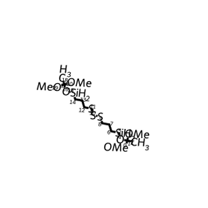 COC(C)(OC)O[SiH2]CCCSSSCCC[SiH2]OC(C)(OC)OC